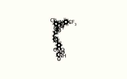 O=C1CCC(N2C(=O)c3ccc(N4CCN(CC5CN(S(=O)(=O)Nc6ccc(Cl)cc6C(=O)Nc6ccc(C(F)(F)F)cc6Cl)C5)CC4)cc3C2=O)C(=O)N1